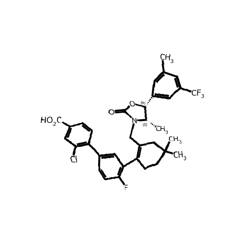 Cc1cc([C@H]2OC(=O)N(CC3=C(c4cc(-c5ccc(C(=O)O)cc5Cl)ccc4F)CCC(C)(C)C3)[C@H]2C)cc(C(F)(F)F)c1